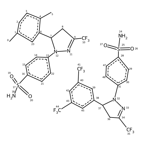 Cc1ccc(C)c(C2CC(C(F)(F)F)=NN2c2ccc(S(N)(=O)=O)cc2)c1.NS(=O)(=O)c1ccc(N2N=C(C(F)(F)F)CC2c2cc(C(F)(F)F)cc(C(F)(F)F)c2)cc1